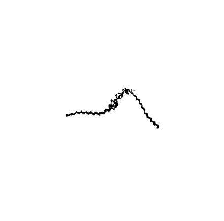 C=CC=CCCCCCCCCCCCCCC[n+]1ccn(CCOCCn2cc[n+](CCCCCCCCCCCCCCC=CC=C)c2)c1